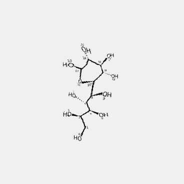 OC[C@@H](O)[C@H](O)[C@H](O)[C@H](O)[C@H]1OC(O)[C@H](O)[C@@H](O)[C@@H]1O